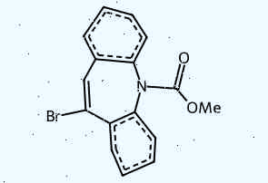 COC(=O)N1c2ccccc2C=C(Br)c2ccccc21